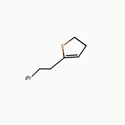 CC(C)CCC1=CCCS1